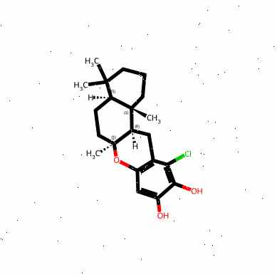 CC1(C)CCC[C@]2(C)[C@H]3Cc4c(cc(O)c(O)c4Cl)O[C@@]3(C)CC[C@@H]12